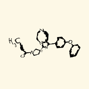 CC#CC(=O)N1CC[C@H](c2nc(-c3ccc(Oc4ccccc4)cc3)c3cnccn23)C1